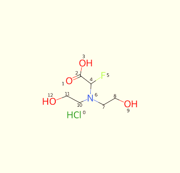 Cl.O=C(O)C(F)N(CCO)CCO